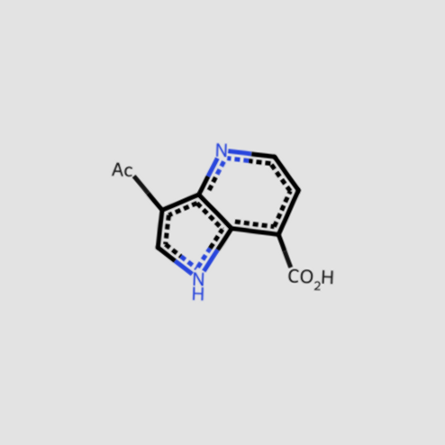 CC(=O)c1c[nH]c2c(C(=O)O)ccnc12